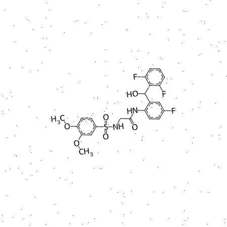 COc1ccc(S(=O)(=O)NCC(=O)Nc2ccc(F)cc2C(O)c2c(F)cccc2F)cc1OC